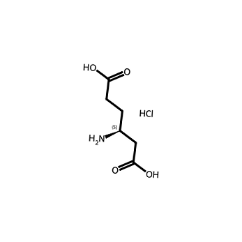 Cl.N[C@@H](CCC(=O)O)CC(=O)O